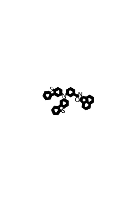 c1cc(-c2nc3c(o2)-c2cccc4cccc-3c24)cc(N(c2ccc3sc4ccccc4c3c2)c2ccc3sc4ccccc4c3c2)c1